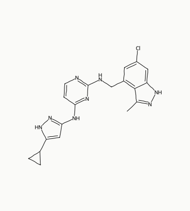 Cc1n[nH]c2cc(Cl)cc(CNc3nccc(Nc4cc(C5CC5)[nH]n4)n3)c12